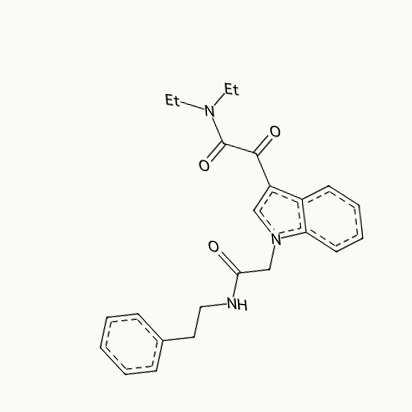 CCN(CC)C(=O)C(=O)c1cn(CC(=O)NCCc2ccccc2)c2ccccc12